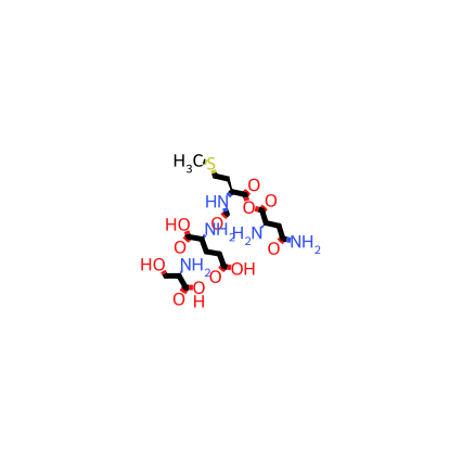 CSCC[C@H](NC=O)C(=O)OC(=O)[C@@H](N)CC(N)=O.N[C@@H](CCC(=O)O)C(=O)O.N[C@@H](CO)C(=O)O